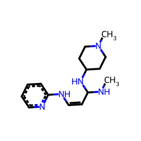 CNC(/C=C\Nc1ccccn1)NC1CCN(C)CC1